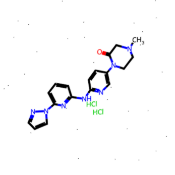 CN1CCN(c2ccc(Nc3cccc(-n4cccn4)n3)nc2)C(=O)C1.Cl.Cl